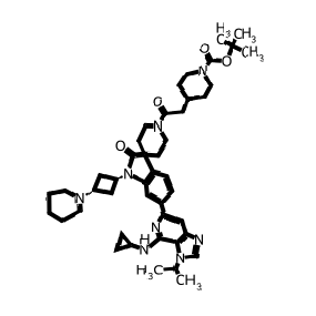 CC(C)n1cnc2cc(-c3ccc4c(c3)N([C@H]3C[C@@H](N5CCCCC5)C3)C(=O)C43CCN(C(=O)CC4CCN(C(=O)OC(C)(C)C)CC4)CC3)nc(NC3CC3)c21